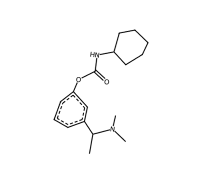 CC(c1cccc(OC(=O)NC2CCCCC2)c1)N(C)C